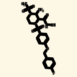 CC1C(C(=O)NO)N(S(=O)(=O)c2ccc(OCc3ccc(F)cc3)cc2)CCN1S(C)(=O)=O